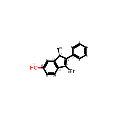 CCC1=C(c2ccccc2)[C@H](C)c2cc(O)ccc21